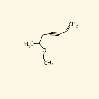 C=CC#CCC(C)OCC